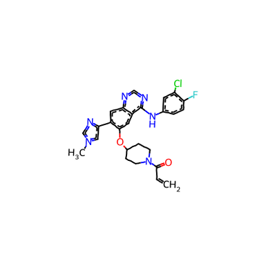 C=CC(=O)N1CCC(Oc2cc3c(Nc4ccc(F)c(Cl)c4)ncnc3cc2-c2cn(C)cn2)CC1